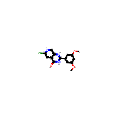 COc1cc(OC)cc(-c2nc3cnc(Cl)cc3c(=O)[nH]2)c1